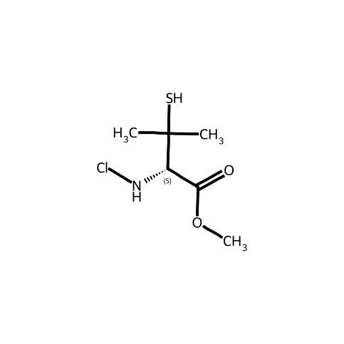 COC(=O)[C@H](NCl)C(C)(C)S